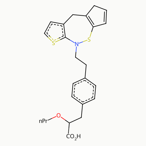 CCCOC(Cc1ccc(CCN2SC3=C(CC=C3)Cc3ccsc32)cc1)C(=O)O